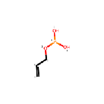 C=CCOP(O)O